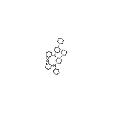 c1ccc(-c2ccc(N3c4cc(ccc4-c4ccccc4)N(c4ccccc4)c4cccc5c4sc4c3cccc45)cc2)cc1